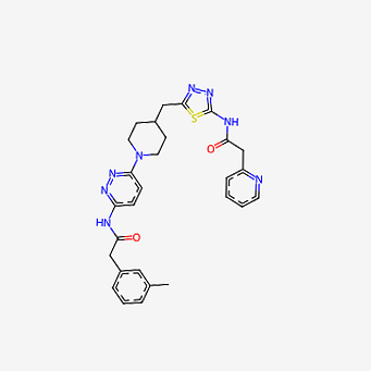 Cc1cccc(CC(=O)Nc2ccc(N3CCC(Cc4nnc(NC(=O)Cc5ccccn5)s4)CC3)nn2)c1